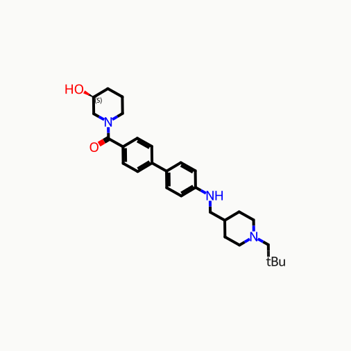 CC(C)(C)CN1CCC(CNc2ccc(-c3ccc(C(=O)N4CCC[C@H](O)C4)cc3)cc2)CC1